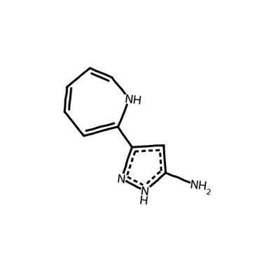 Nc1cc(C2=CC=CC=CN2)n[nH]1